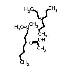 CC(=O)O.CCCCCCCN(C)C.CCCN(CCC)CCC